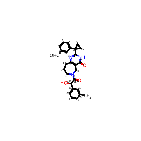 O=Cc1cccc(C2(c3nc4c(c(=O)[nH]3)CN(C(=O)[C@H](O)c3cccc(C(F)(F)F)c3)CCC4)CC2)c1